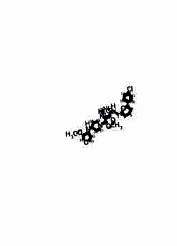 C=C(NC[C@@H]1CCC[C@H](c2ccc(Cl)cc2)O1)/C(OC)=C(\N=C/N)C(=O)N1CCC(N[C@H]2CCOCC2OC)CC1